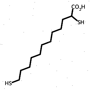 O=C(O)C(S)CCCCCCCCCCS